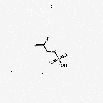 C=C(I)CCS(=O)(=O)O